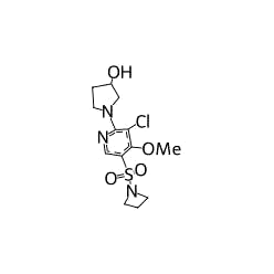 COc1c(S(=O)(=O)N2CCC2)cnc(N2CCC(O)C2)c1Cl